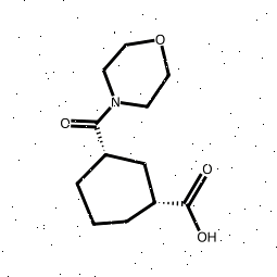 O=C(O)[C@@H]1CCC[C@H](C(=O)N2CCOCC2)C1